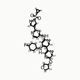 O=S(=O)(C1CC1)n1cc(-c2nccc(Nc3cc(NC4CCC(F)CC4)c(-c4cnc(OC5CCOC5)cn4)cn3)n2)cn1